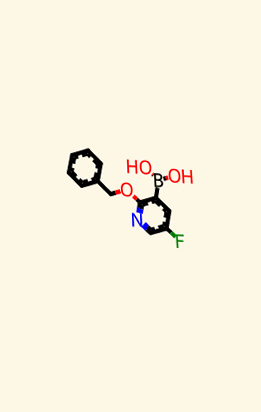 OB(O)c1cc(F)cnc1OCc1ccccc1